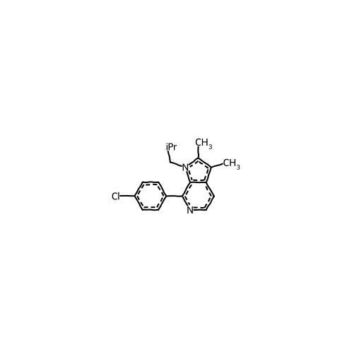 Cc1c(C)n(CC(C)C)c2c(-c3ccc(Cl)cc3)nccc12